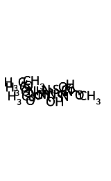 COCC1C[C@H]2COc3c(Sc4cnc(N5CCC6(CC5)CO[C@@H](C)[C@H]6NC(=O)OC(C)(C)C)c(CO)n4)ccnc3N2C1